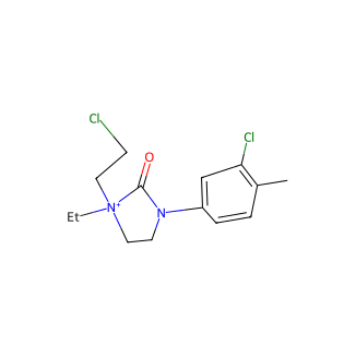 CC[N+]1(CCCl)CCN(c2ccc(C)c(Cl)c2)C1=O